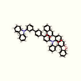 c1cc(-c2ccc(-c3ccc(N(c4ccccc4-c4ccc5ccccc5c4)c4ccccc4-c4cccc5oc6ccccc6c45)cc3)cc2)cc(-n2c3ccccc3c3ccccc32)c1